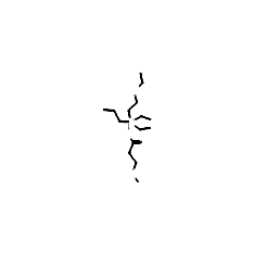 CCCP(CC)(CC)(CCOCC)OC(=O)CCSC